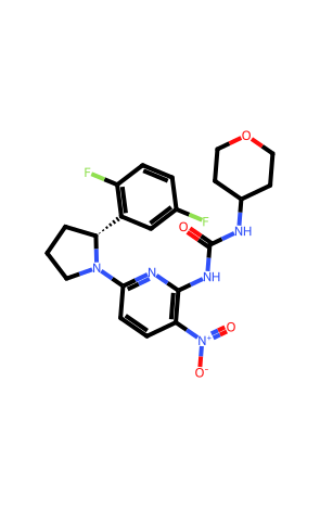 O=C(Nc1nc(N2CCC[C@@H]2c2cc(F)ccc2F)ccc1[N+](=O)[O-])NC1CCOCC1